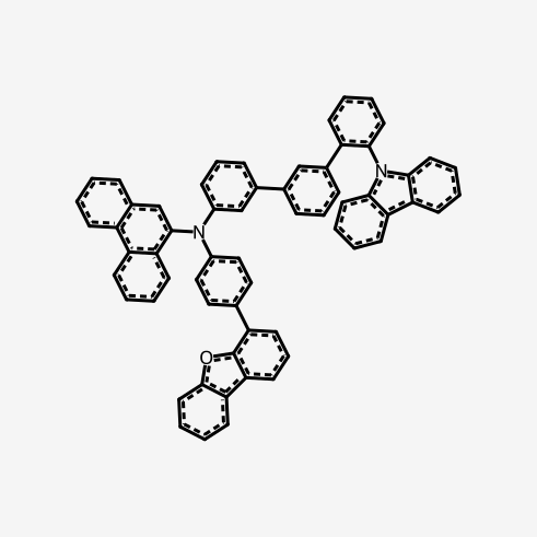 c1cc(-c2cccc(N(c3ccc(-c4cccc5c4oc4ccccc45)cc3)c3cc4ccccc4c4ccccc34)c2)cc(-c2ccccc2-n2c3ccccc3c3ccccc32)c1